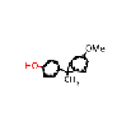 COc1ccc2c(c1)C2(C)c1ccc(O)cc1